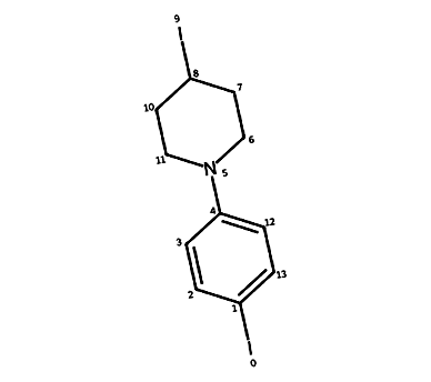 Ic1ccc(N2CCC(I)CC2)cc1